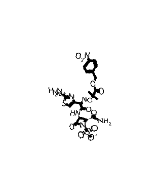 CC(C)(O/N=C(\C(=O)N[C@H]1C(=O)N(S(=O)(=O)[O-])[C@H]1C(N)=O)c1csc(N)n1)C(=O)OCc1ccc([N+](=O)[O-])cc1.[Na+]